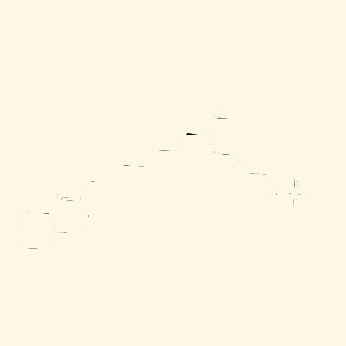 CS(=O)(=O)NCCCN[C@@H](CCCCCCCc1ccc2c(n1)NCCC2)C(=O)O